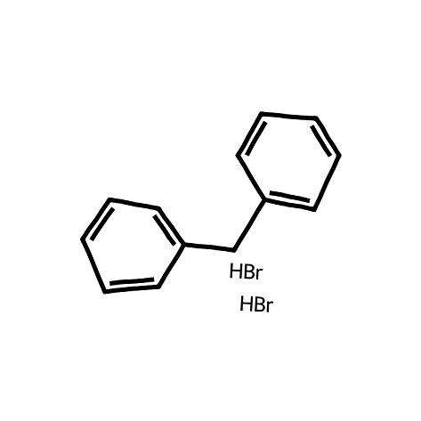 Br.Br.c1ccc(Cc2ccccc2)cc1